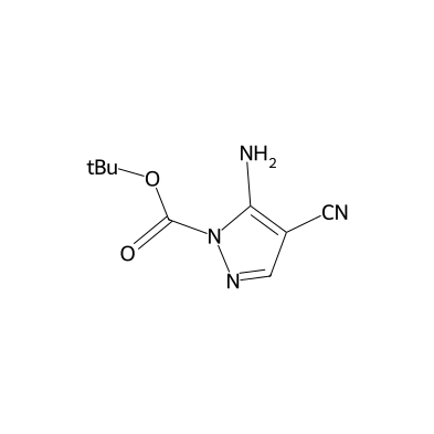 CC(C)(C)OC(=O)n1ncc(C#N)c1N